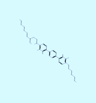 CCCCCCCc1ccc(-c2ccc(-c3ccc(C4CCC(CCCCCCC)CO4)c(F)c3F)cc2)c(F)c1F